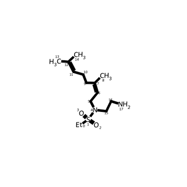 CCS(=O)(=O)N(CC=C(C)CCC=C(C)C)CCN